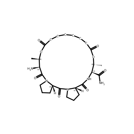 C[C@H]1OC(=O)CCCCCCC(=O)O[C@H](C)[C@@H](C(N)=O)NC(=O)[C@@H]2CCCN2C(=O)[C@@H]2CCCN2C(=O)[C@H]1N